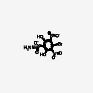 N.N.O=[N+]([O-])c1c(O)c([N+](=O)[O-])c(Br)c([N+](=O)[O-])c1O